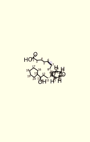 O=C(O)CCC/C=C\C[C@H]1[C@@H](CCC(O)C2CCCCC2)[C@@H]2O[C@H]1[C@@H]1O[C@@H]12